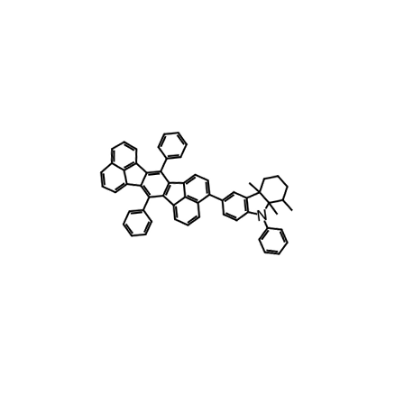 CC1CCCC2(C)c3cc(-c4ccc5c6c(-c7ccccc7)c7c8cccc9cccc(c7c(-c7ccccc7)c6c6cccc4c65)c98)ccc3N(c3ccccc3)C12C